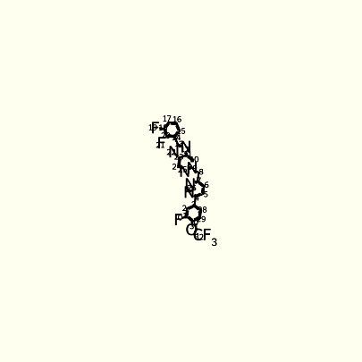 Fc1cc(-c2ccc(Cn3cc4nc(-c5cccc(F)c5F)nc-4cn3)nn2)ccc1OC(F)(F)F